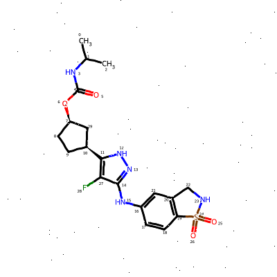 CC(C)NC(=O)O[C@@H]1CC[C@H](c2[nH]nc(Nc3ccc4c(c3)CNS4(=O)=O)c2F)C1